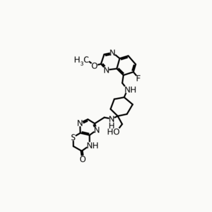 COc1cnc2ccc(F)c(CNC3CCC(CO)(NCc4cnc5c(n4)NC(=O)CS5)CC3)c2n1